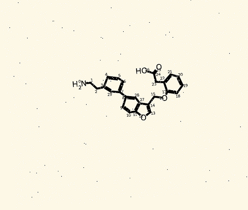 NCCc1cccc(-c2ccc3occ(COc4ccccc4CC(=O)O)c3c2)c1